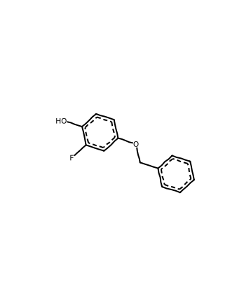 Oc1ccc(OCc2ccccc2)cc1F